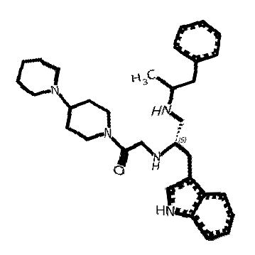 CC(Cc1ccccc1)NC[C@H](Cc1c[nH]c2ccccc12)NCC(=O)N1CCC(N2CCCCC2)CC1